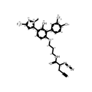 C#CCC(N=[N+]=[N-])C(=O)NCCCOc1ccc(-c2cc(C(F)(F)F)nn2C)c(O)c1-c1ccc(Cl)c(C(F)(F)F)c1